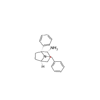 N[C@@H]1CC[C@H]2CC[C@]1(c1ccccc1)N2Cc1ccccc1